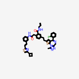 C=CCNC(=O)c1cc(CCc2cc3c(s2)-n2c(C)nnc2CN=C3c2ccccc2F)ccc1CC(=O)Nc1cccc(C=Cc2nc(C3CCC3)cs2)c1